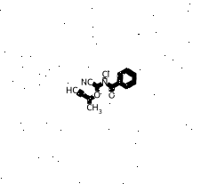 C#CC(C)OC(C#N)N(Cl)C(=O)c1ccccc1